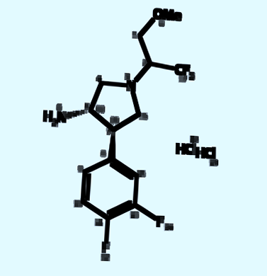 COCC(N1C[C@@H](N)[C@H](c2ccc(F)c(F)c2)C1)C(F)(F)F.Cl.Cl